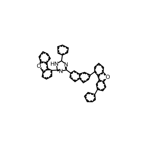 c1ccc(-c2ccc3oc4cccc(-c5ccc6ccc(C7=NC(c8ccccc8)NC(c8cccc9oc%10ccccc%10c89)=N7)cc6c5)c4c3c2)cc1